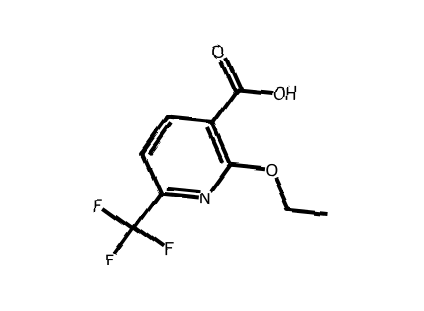 CCOc1nc(C(F)(F)F)ccc1C(=O)O